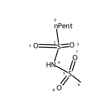 CCCCCS(=O)(=O)NS(C)(=O)=O